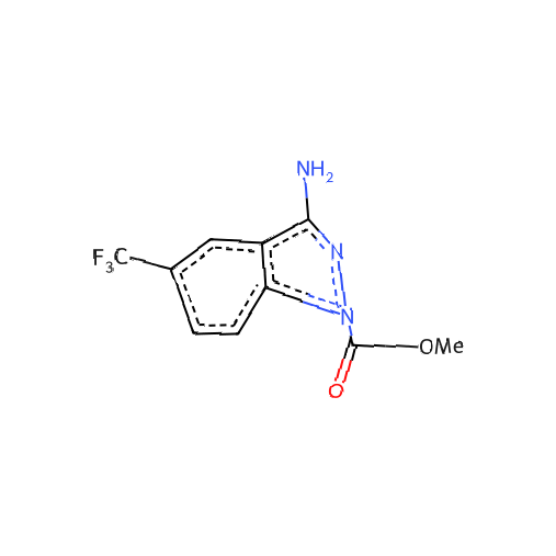 COC(=O)n1nc(N)c2cc(C(F)(F)F)ccc21